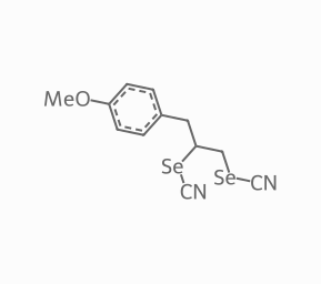 COc1ccc(CC(C[Se]C#N)[Se]C#N)cc1